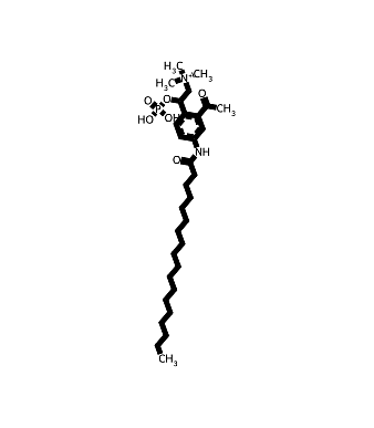 CCCCCCCCCCCCCCCCCC(=O)Nc1ccc(C(C[N+](C)(C)C)OP(=O)(O)O)c(C(C)=O)c1